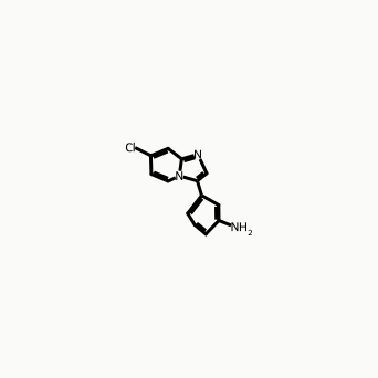 Nc1cccc(-c2cnc3cc(Cl)ccn23)c1